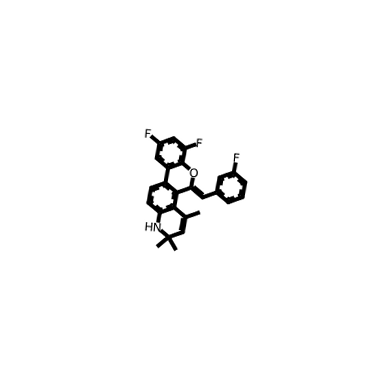 CC1=CC(C)(C)Nc2ccc3c(c21)/C(=C/c1cccc(F)c1)Oc1c(F)cc(F)cc1-3